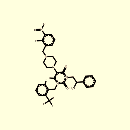 Cc1c(N2CCN(Cc3cccc([N+](=O)[O-])c3F)CC2)c(=O)n(CC(N)c2ccccc2)c(=O)n1Cc1c(F)cccc1C(F)(F)F